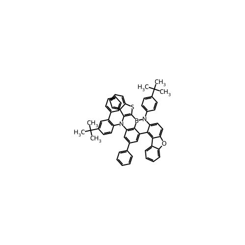 CC(C)(C)c1ccc(N2B3c4sc5ccccc5c4N(c4ccc(C(C)(C)C)cc4-c4ccccc4)c4cc(-c5ccccc5)cc(c43)-c3c2ccc2oc4ccccc4c32)cc1